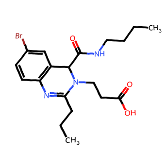 CCCCNC(=O)C1c2cc(Br)ccc2N=C(CCC)N1CCC(=O)O